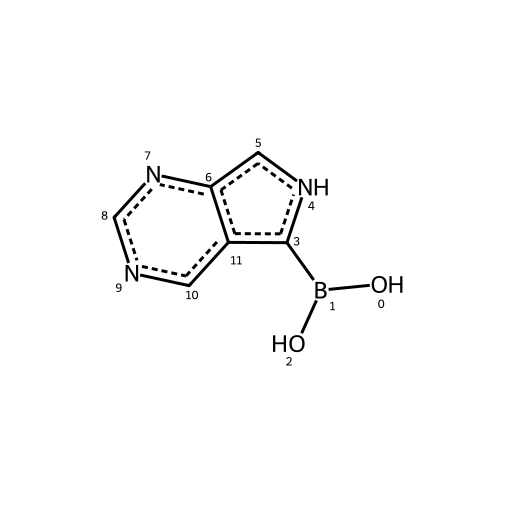 OB(O)c1[nH]cc2ncncc12